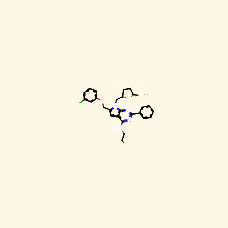 COC1OC(Cn2c(COc3cccc(Cl)c3)cc3c(NCCNC(C)=O)nc(-c4ccccc4)nc32)[C@@H](O)[C@H]1O